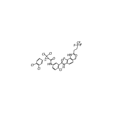 O=C(CCC(F)(F)C(F)(F)F)Nc1c(F)ccc(NC(=O)c2cc(NC(=O)C3[C@H](c4ccc(Cl)c(Cl)c4)C3(Cl)Cl)ccc2Cl)c1F